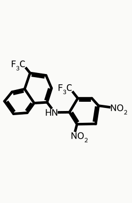 O=[N+]([O-])c1cc([N+](=O)[O-])c(Nc2ccc(C(F)(F)F)c3ccccc23)c(C(F)(F)F)c1